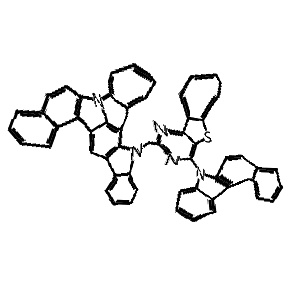 c1ccc2c(c1)ccc1c2c2ccccc2n1-c1nc(-n2c3ccccc3c3cc4c5c6ccccc6ccc5n5c6ccccc6c(c32)c45)nc2c1sc1ccccc12